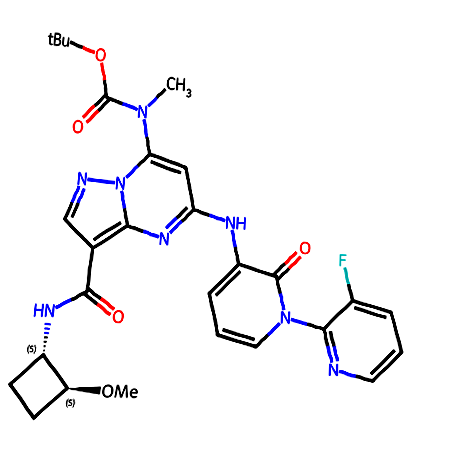 CO[C@H]1CC[C@@H]1NC(=O)c1cnn2c(N(C)C(=O)OC(C)(C)C)cc(Nc3cccn(-c4ncccc4F)c3=O)nc12